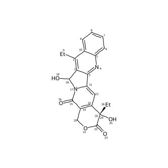 CCc1c2c(nc3ccccc13)-c1cc3c(c(=O)n1C2O)COC(=O)[C@]3(O)CC